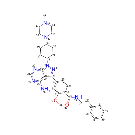 COc1cc(-c2nn([C@H]3CC[C@@H](N4CCN(C)CC4)CC3)c3ncnc(N)c23)ccc1C(=O)NCCc1ccccc1